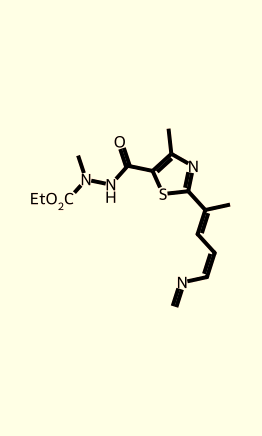 C=N/C=C\C=C(/C)c1nc(C)c(C(=O)NN(C)C(=O)OCC)s1